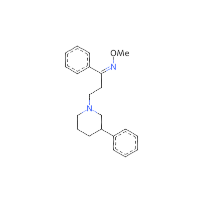 CO/N=C(/CCN1CCCC(c2ccccc2)C1)c1ccccc1